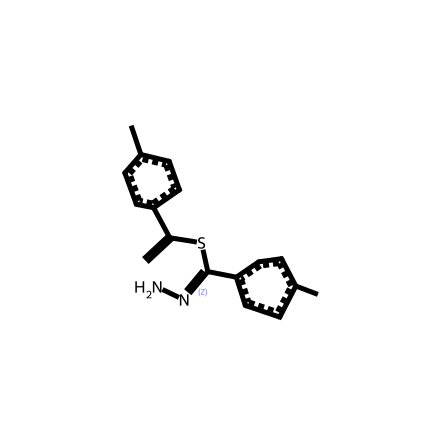 C=C(S/C(=N\N)c1ccc(C)cc1)c1ccc(C)cc1